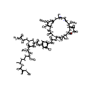 C=C(CBr)C(=O)OC(C)CCCC(C=O)N[C@H](C(=O)N[C@@H](CCCNC(N)=O)C(=O)Nc1ccc(NC(=O)O[C@H]2CC(=O)N(C)c3cc(cc(OC)c3Cl)C/C(C)=C/C=C/[C@@H](OC)[C@@]3(O)C[C@H](OC(=O)N3)[C@@H](C)[C@@H]3O[C@@]23C)c(Cl)c1)C(C)C